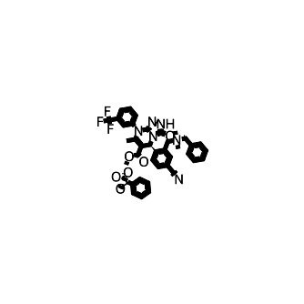 COC(=O)C1=C(C)N(c2cccc(C(F)(F)F)c2)c2n[nH]c(=O)n2[C@@H]1c1ccc(C#N)cc1C[N+](C)(C)Cc1ccccc1.O=S(=O)([O-])c1ccccc1